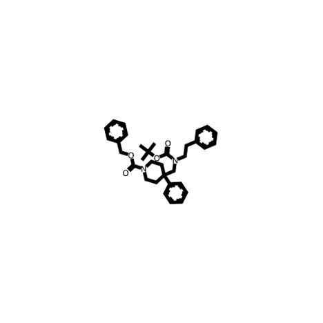 CC(C)(C)OC(=O)N(CCc1ccccc1)CC1(c2ccccc2)CCN(C(=O)OCc2ccccc2)CC1